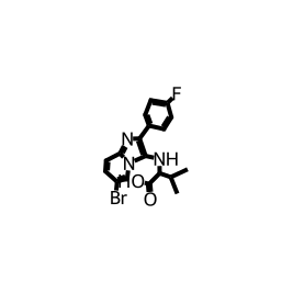 CC(C)C(Nc1c(-c2ccc(F)cc2)nc2ccc(Br)cn12)C(=O)O